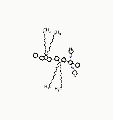 CCCCCCCCCCCCC1(CCCCCCCCCCCC)c2cc(-c3ccccc3)ccc2-c2ccc(-c3ccc4c(c3)C(CCCCCCCCCCCC)(CCCCCCCCCCCC)c3cc(-c5cc(/C=C/c6ccncc6)c(-c6ccccc6)cc5/C=C/c5ccncc5)ccc3-4)cc21